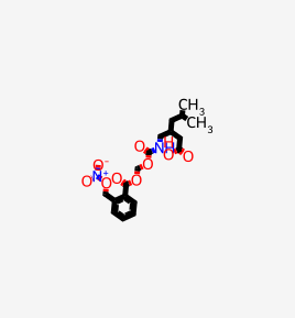 CC(C)CC(CNC(=O)OCOC(=O)c1ccccc1CO[N+](=O)[O-])CC(=O)O